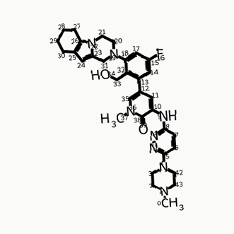 CN1CCN(c2ccc(Nc3cc(-c4cc(F)cc(N5CCn6c(cc7c6CCCC7)C5)c4CO)cn(C)c3=O)nn2)CC1